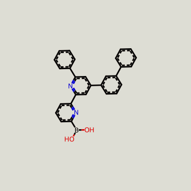 OB(O)c1cccc(-c2cc(-c3cccc(-c4ccccc4)c3)cc(-c3ccccc3)n2)n1